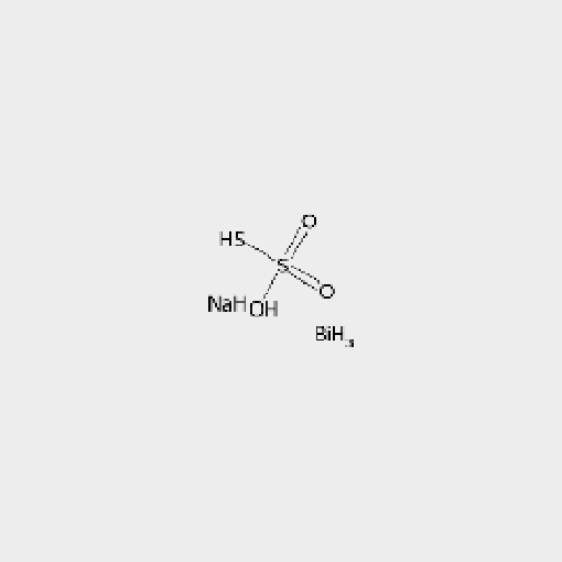 O=S(=O)(O)S.[BiH3].[NaH]